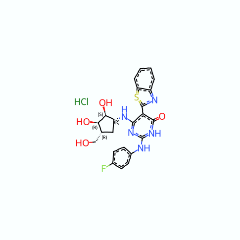 Cl.O=c1[nH]c(Nc2ccc(F)cc2)nc(N[C@@H]2C[C@H](CO)[C@@H](O)[C@H]2O)c1-c1nc2ccccc2s1